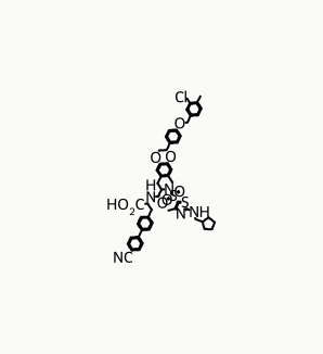 Cc1ccc(COc2ccc(C3COc4cc5c(cc4O3)CN(S(=O)(=O)c3sc(NCC4CCCC4)nc3C)C(C(=O)NC(Cc3ccc(-c4ccc(C#N)cc4)cc3)C(=O)O)C5)cc2)cc1Cl